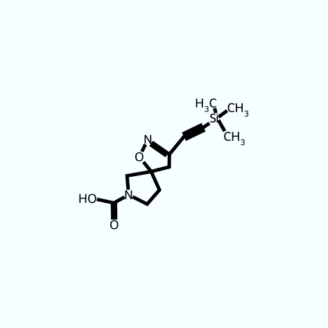 C[Si](C)(C)C#CC1=NOC2(CCN(C(=O)O)C2)C1